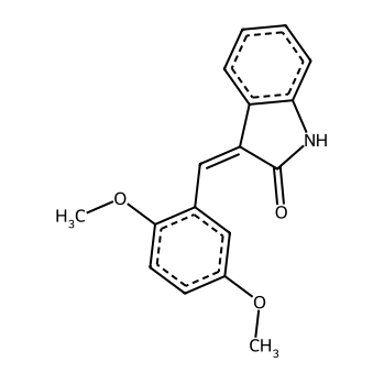 COc1ccc(OC)c(/C=C2\C(=O)Nc3ccccc32)c1